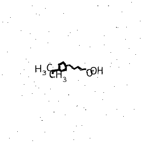 CC(C)c1ccc(CCC=CCOO)cc1